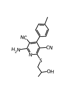 Cc1ccc(-c2c(C#N)c(N)nc(SCC(C)O)c2C#N)cc1